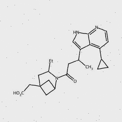 CCC1CC2(CC(=O)O)CC(C2)N1C(=O)CC(C)c1c[nH]c2nccc(C3CC3)c12